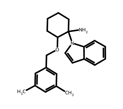 Cc1cc(C)cc(COC2CCCCC2(N)n2ccc3ccccc32)c1